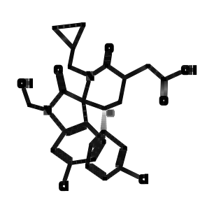 O=C(O)CC1C[C@H](c2cccc(Cl)c2)C2(C(=O)N(CO)c3cc(Cl)ccc32)N(CC2CC2)C1=O